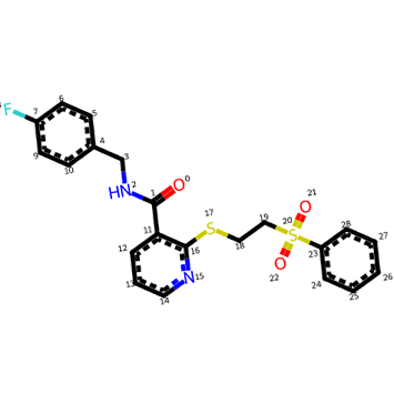 O=C(NCc1ccc(F)cc1)c1cccnc1SCCS(=O)(=O)c1ccccc1